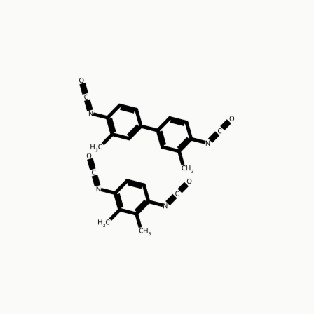 Cc1c(N=C=O)ccc(N=C=O)c1C.Cc1cc(-c2ccc(N=C=O)c(C)c2)ccc1N=C=O